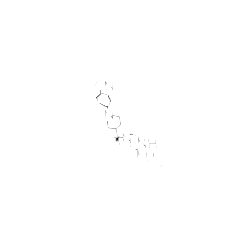 C[C@H]1CN(C(=O)C2CCN(c3ccc(C#N)cc3)CC2)CCN1